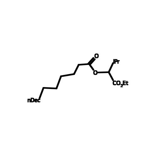 CCCCCCCCCCCCCCCC(=O)OC(C(=O)OCC)C(C)C